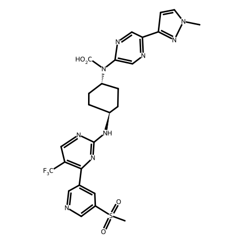 Cn1ccc(-c2cnc(N(C(=O)O)[C@H]3CC[C@H](Nc4ncc(C(F)(F)F)c(-c5cncc(S(C)(=O)=O)c5)n4)CC3)cn2)n1